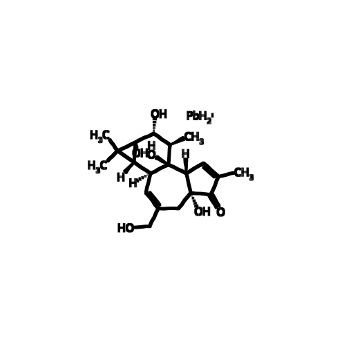 CC1=C[C@H]2[C@@]3(O)[C@H](C)[C@@H](O)[C@]4(O)[C@H]([C@@H]3C=C(CO)C[C@]2(O)C1=O)C4(C)C.[PbH2]